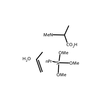 C=CC.CCC[Si](OC)(OC)OC.CNC(C)C(=O)O.O